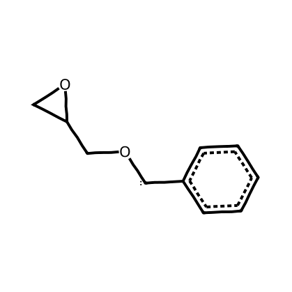 [C](OCC1CO1)c1ccccc1